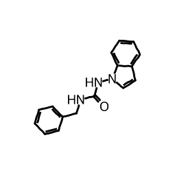 O=C(NCc1ccccc1)Nn1ccc2ccccc21